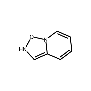 C1=CC2=CNON2C=C1